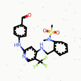 CN(c1ccccc1CNc1cc(Nc2ccc(C=O)cc2)ncc1C(F)(F)F)S(C)(=O)=O